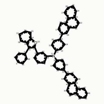 c1ccc(-c2c(-c3cccc(N(c4ccc(-c5ccc6c(ccc7ccccc76)c5)cc4)c4ccc(-c5ccc6c(ccc7ccccc76)c5)cc4)c3)oc3ccccc23)cc1